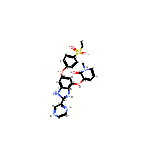 CCS(=O)(=O)c1ccc(Oc2cc(Oc3cccn(C)c3=O)c3nc(-c4cnccn4)[nH]c3c2)cc1